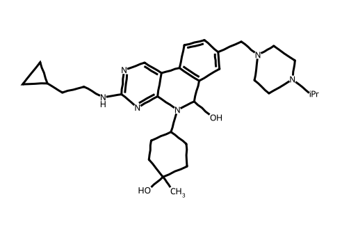 CC(C)N1CCN(Cc2ccc3c(c2)C(O)N(C2CCC(C)(O)CC2)c2nc(NCCC4CC4)ncc2-3)CC1